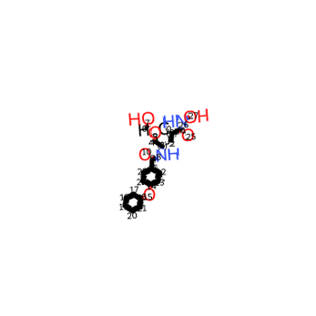 C[C@@H](C[C@@H](COCO)NC(=O)c1ccc(Oc2ccccc2)cc1)C(=O)NO